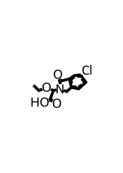 CCOC(C(=O)O)N1Cc2ccc(Cl)cc2C1=O